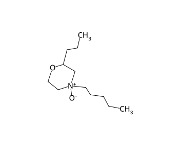 CCCCC[N+]1([O-])CCOC(CCC)C1